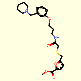 COC(=O)c1ccc(CSCC(=O)NCCCOc2cccc(CN3CCCCC3)c2)o1